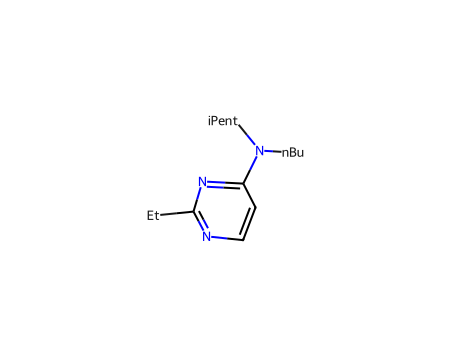 CCCCN(c1ccnc(CC)n1)C(C)CCC